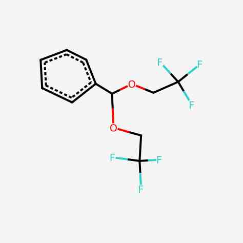 FC(F)(F)COC(OCC(F)(F)F)c1ccccc1